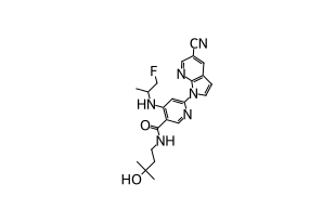 CC(CF)Nc1cc(-n2ccc3cc(C#N)cnc32)ncc1C(=O)NCCC(C)(C)O